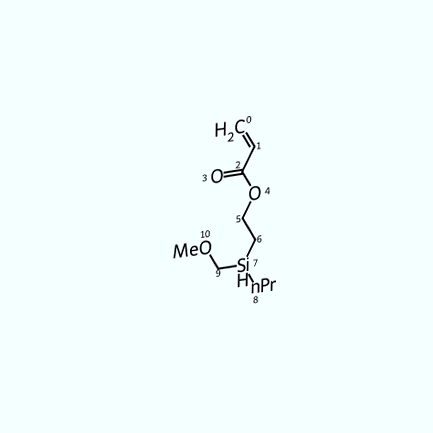 C=CC(=O)OCC[SiH](CCC)COC